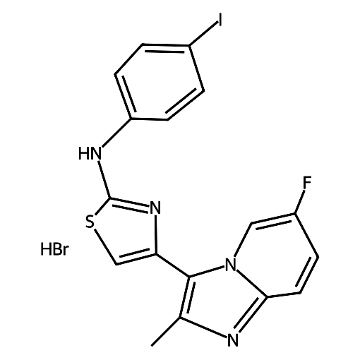 Br.Cc1nc2ccc(F)cn2c1-c1csc(Nc2ccc(I)cc2)n1